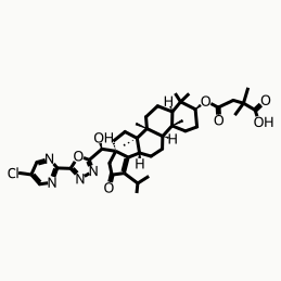 CC(C)C1=C2[C@H]3CC[C@@H]4[C@@]5(C)CC[C@H](OC(=O)CC(C)(C)C(=O)O)C(C)(C)[C@@H]5CC[C@@]4(C)[C@]3(C)CC[C@@]2([C@H](O)c2nnc(-c3ncc(Cl)cn3)o2)CC1=O